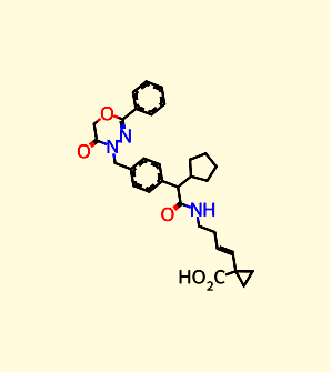 O=C(NCCC=CC1(C(=O)O)CC1)C(c1ccc(CN2N=C(c3ccccc3)OCC2=O)cc1)C1CCCC1